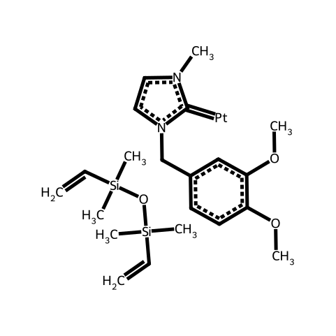 C=C[Si](C)(C)O[Si](C)(C)C=C.COc1ccc(Cn2ccn(C)[c]2=[Pt])cc1OC